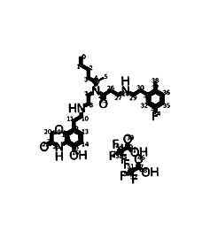 CCCC[C@@H](C)N(CCNCCc1ccc(O)c2c1OCC(=O)N2)C(=O)CCNCCc1cc(F)ccc1C.O=C(O)C(F)(F)F.O=C(O)C(F)(F)F